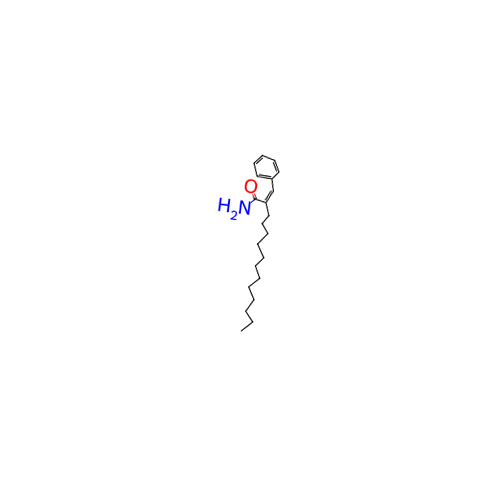 CCCCCCCCCCCCC(=Cc1ccccc1)C(N)=O